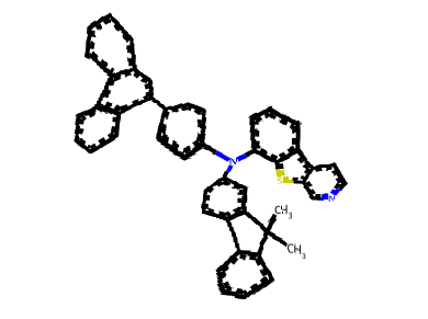 CC1(C)c2ccccc2-c2ccc(N(c3ccc(-c4cc5ccccc5c5ccccc45)cc3)c3cccc4c3sc3cnccc34)cc21